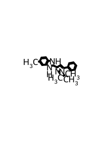 Cc1ccc2c(c1)NC(c1cc(-c3ccccc3)n(C(C)(C)C)n1)N2